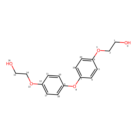 OCCOc1ccc(Oc2ccc(OCCO)cc2)cc1